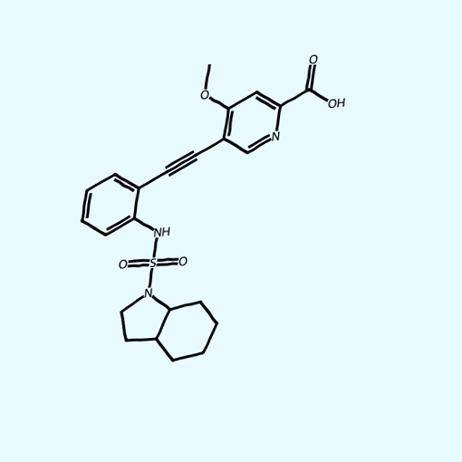 COc1cc(C(=O)O)ncc1C#Cc1ccccc1NS(=O)(=O)N1CCC2CCCCC21